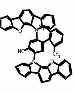 N#Cc1cc(-n2c3ccccc3c3ccc4c5ccccc5oc4c32)c(-c2c(C(F)(F)F)cccc2C(F)(F)F)cc1-n1c2ccccc2c2ccc3c4ccccc4oc3c21